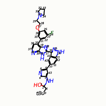 CC(C)(C)CC(O)Nc1cncc(-c2ccc3[nH]nc(-c4nc5c(-c6cc(F)cc(OCCN7CCCC7)c6)ccnc5[nH]4)c3c2)c1